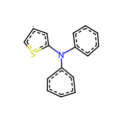 [c]1csc(N(c2ccccc2)c2ccccc2)c1